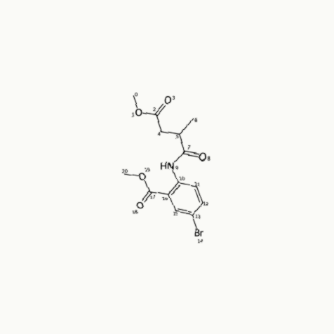 COC(=O)CC(C)C(=O)Nc1ccc(Br)cc1C(=O)OC